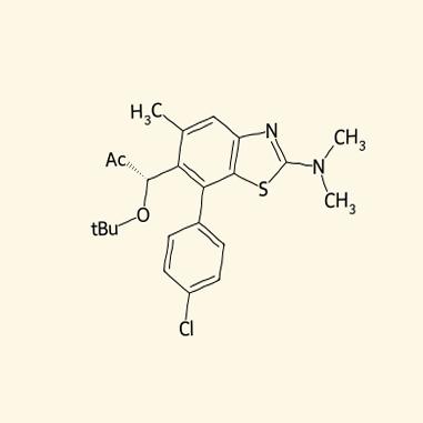 CC(=O)[C@@H](OC(C)(C)C)c1c(C)cc2nc(N(C)C)sc2c1-c1ccc(Cl)cc1